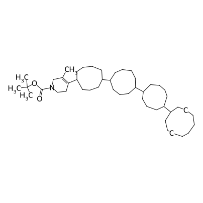 CC1=C(C2CCCCC(C3CCCCC(C4CCCCC(C5CCCCCCCCC5)CCC4)CCC3)CCC2)CCN(C(=O)OC(C)(C)C)C1